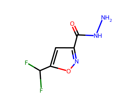 NNC(=O)c1cc(C(F)F)on1